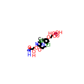 CNC(=O)[C@@H](O)COc1ncc(Cl)c2c1c(=O)cc(C)n2-c1c(Cl)cc(OCCOP(=O)(O)O)cc1Cl.[Ca]